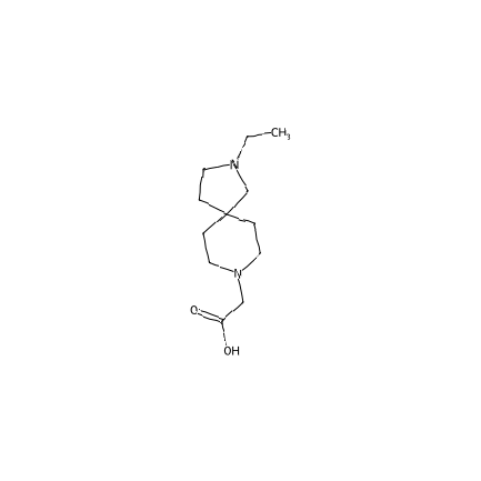 CCN1CCC2(CCN(CC(=O)O)CC2)C1